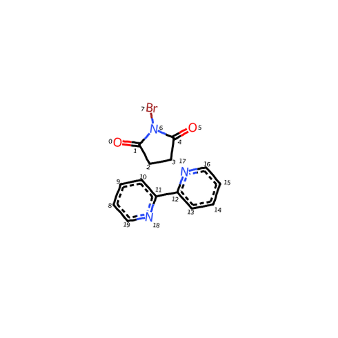 O=C1CCC(=O)N1Br.c1ccc(-c2ccccn2)nc1